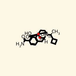 C[C@@H](C1CCC1)N1CCC23CC(=O)CC[C@@]2(O)[C@H]1Cc1ccc(C(N)=O)c(O)c13